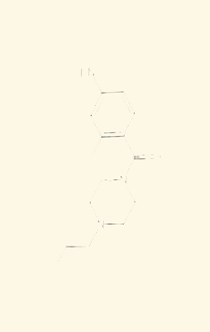 Nc1ccc(C(=O)N2CCN(CCO)CC2)c(F)c1